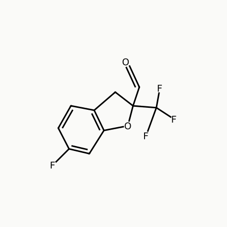 O=CC1(C(F)(F)F)Cc2ccc(F)cc2O1